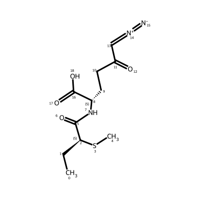 CC[C@H](SC)C(=O)N[C@@H](CCC(=O)C=[N+]=[N-])C(=O)O